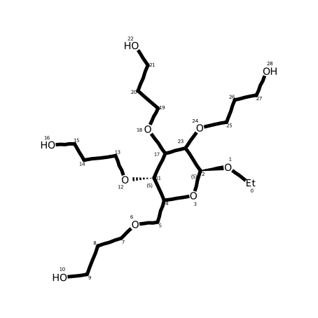 CCO[C@H]1OC(COCCCO)[C@H](OCCCO)C(OCCCO)C1OCCCO